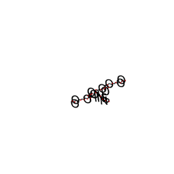 C=CC(=O)OCCCCCCOc1ccc(C(=O)OCCc2ccc(OC(=O)c3ccc(OCCCCCCOC(=O)C=C)cc3)c(/C=N/Nc3nc4ccccc4s3)c2)cc1